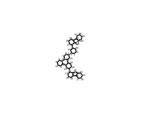 c1cc(-c2ccc3c4ccccc4c4cc(-c5cccc6c5sc5ccccc56)ccc4c3c2)cc(-c2cccc3c2oc2ccccc23)c1